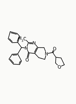 Cc1nc2c(c(=O)n1C(c1ccccc1)c1ccccc1)CCN(C(=O)C1CCOC1)C2